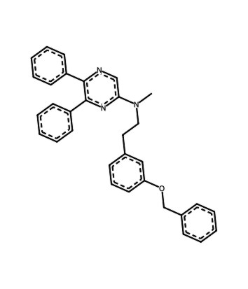 CN(CCc1cccc(OCc2ccccc2)c1)c1cnc(-c2ccccc2)c(-c2ccccc2)n1